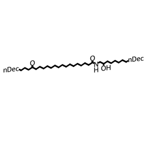 CCCCCCCCCCCCCCCCC(O)CNC(=O)CCCCCCCCCCCCCCCC(=O)CCCCCCCCCCCCC